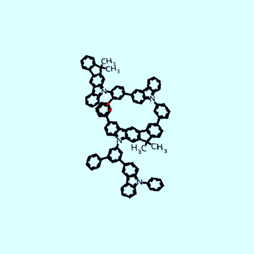 CC1(C)c2ccc(-c3cccc(-n4c5ccccc5c5cc(-c6ccc(-n7c8ccccc8c8cc9c(cc87)C(C)(C)c7ccccc7-9)c(-c7ccccc7)c6)ccc54)c3)cc2-c2cc3c4cc(-c5ccccc5)ccc4n(-c4cc(-c5ccccc5)cc(-c5ccc6c(c5)c5ccccc5n6-c5ccccc5)c4)c3cc21